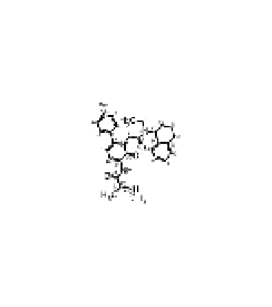 CCN(C(=O)Cn1c(-c2ccc(F)cc2)ccc(NC(=O)[C@H](C)NC)c1=O)C1CCCc2ccccc21